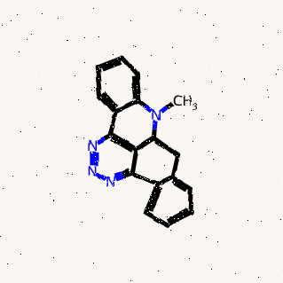 CN1c2ccccc2-c2nnnc3c2C1Cc1ccccc1-3